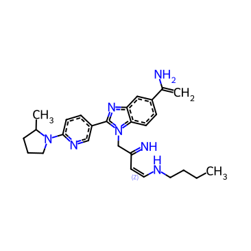 C=C(N)c1ccc2c(c1)nc(-c1ccc(N3CCCC3C)nc1)n2CC(=N)/C=C\NCCCC